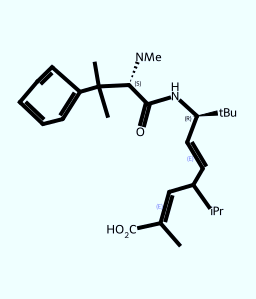 CN[C@H](C(=O)N[C@H](/C=C/C(/C=C(\C)C(=O)O)C(C)C)C(C)(C)C)C(C)(C)c1ccccc1